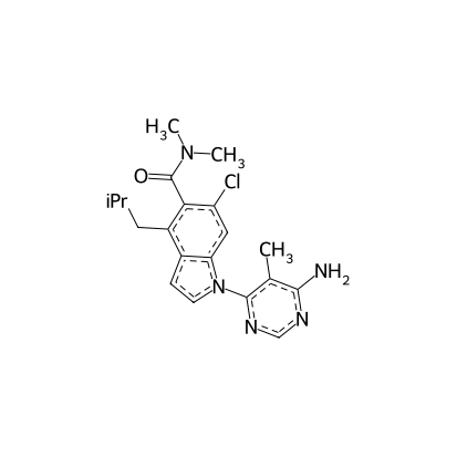 Cc1c(N)ncnc1-n1ccc2c(CC(C)C)c(C(=O)N(C)C)c(Cl)cc21